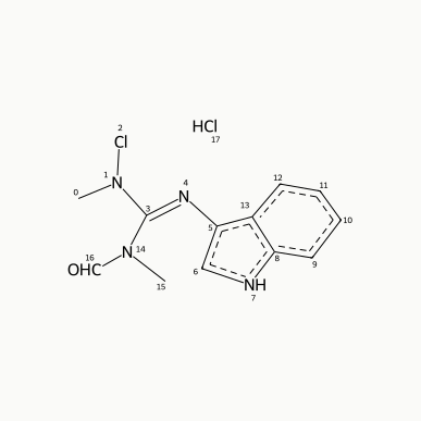 CN(Cl)C(=Nc1c[nH]c2ccccc12)N(C)C=O.Cl